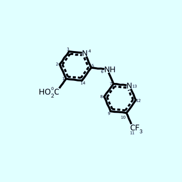 O=C(O)c1ccnc(Nc2ccc(C(F)(F)F)cn2)c1